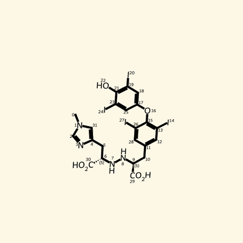 Cn1cnc(C[C@H](NN[C@@H](Cc2cc(I)c(Oc3cc(I)c(O)c(I)c3)c(I)c2)C(=O)O)C(=O)O)c1